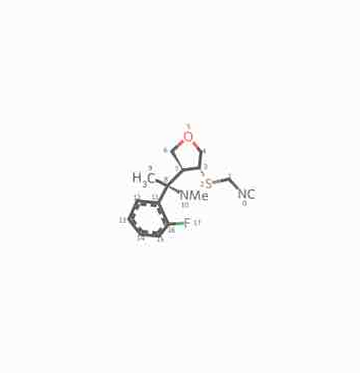 [C-]#[N+]CS[C@H]1COC[C@@H]1[C@](C)(NC)c1ccccc1F